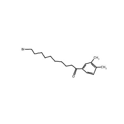 Cc1ccc(C(=O)CCCCCCCCCBr)cc1C